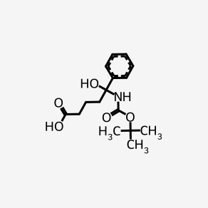 CC(C)(C)OC(=O)NC(O)(CCCC(=O)O)c1ccccc1